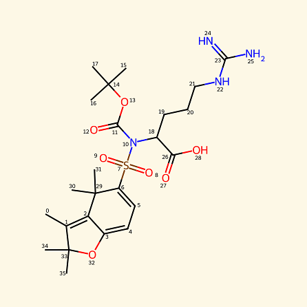 CC1=C2C(=CC=C(S(=O)(=O)N(C(=O)OC(C)(C)C)C(CCCNC(=N)N)C(=O)O)C2(C)C)OC1(C)C